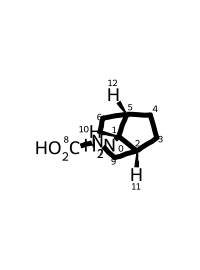 N[C@H]1[C@@H]2CC[C@H]1CN(C(=O)O)C2